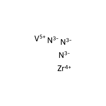 [N-3].[N-3].[N-3].[V+5].[Zr+4]